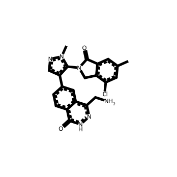 Cc1cc(Cl)c2c(c1)C(=O)N(c1c(-c3ccc4c(=O)[nH]nc(CN)c4c3)cnn1C)C2